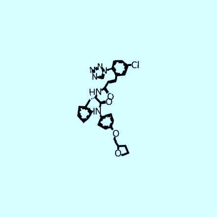 O=C(/C=C/c1cc(Cl)ccc1-n1cnnn1)N[C@@H](Cc1ccccc1)C(=O)Nc1ccc(OCC2CCCO2)cc1